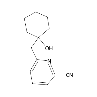 N#Cc1cccc(CC2(O)CCCCC2)n1